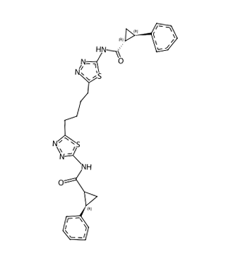 O=C(Nc1nnc(CCCCc2nnc(NC(=O)[C@@H]3C[C@H]3c3ccccc3)s2)s1)C1C[C@H]1c1ccccc1